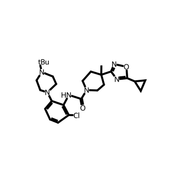 CC1(c2noc(C3CC3)n2)CCN(C(=O)Nc2c(Cl)cccc2N2CCN(C(C)(C)C)CC2)CC1